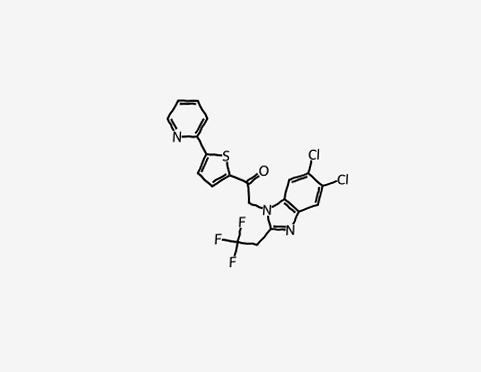 O=C(Cn1c(CC(F)(F)F)nc2cc(Cl)c(Cl)cc21)c1ccc(-c2ccccn2)s1